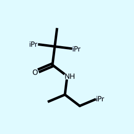 CC(C)CC(C)NC(=O)C(C)(C(C)C)C(C)C